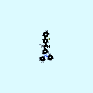 [2H]/C(=C(/[2H])c1ccc2c(c1)sc1ccccc12)c1ccc(N(c2ccccc2)c2ccccc2)cc1